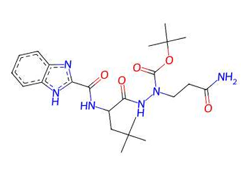 CC(C)(C)CC(NC(=O)c1nc2ccccc2[nH]1)C(=O)NN(CCC(N)=O)C(=O)OC(C)(C)C